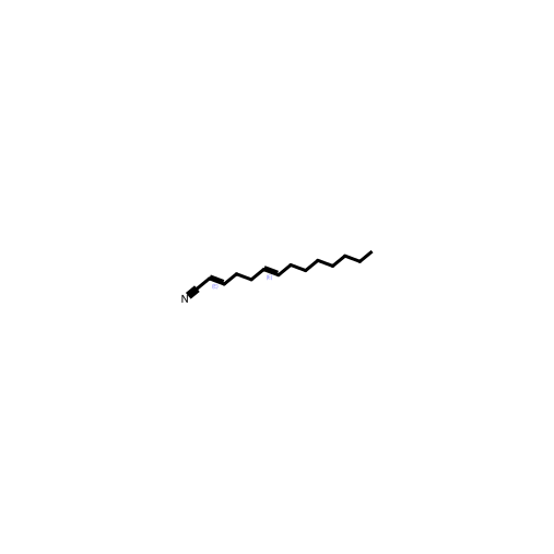 CCCCCCC/C=C/CC/C=C/C#N